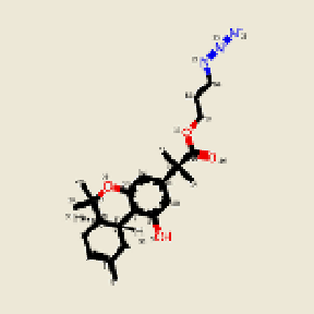 CC1=CC[C@@H]2[C@@H](C1)c1c(O)cc(C(C)(C)C(=O)OCCCN=[N+]=[N-])cc1OC2(C)C